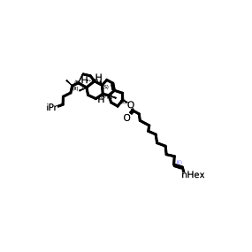 CCCCCC/C=C/CCCCCCCCCC(=O)O[C@H]1CC[C@@]2(C)C(=CC[C@H]3[C@@H]4CC[C@H]([C@H](C)CCCC(C)C)[C@@]4(C)CC[C@@H]32)C1